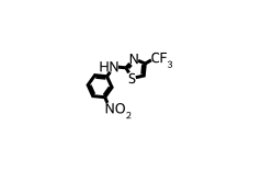 O=[N+]([O-])c1cccc(Nc2nc(C(F)(F)F)cs2)c1